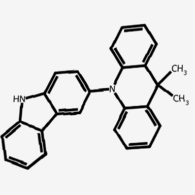 CC1(C)c2ccccc2N(c2ccc3[nH]c4ccccc4c3c2)c2ccccc21